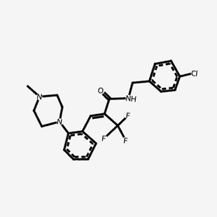 CN1CCN(c2ccccc2C=C(C(=O)NCc2ccc(Cl)cc2)C(F)(F)F)CC1